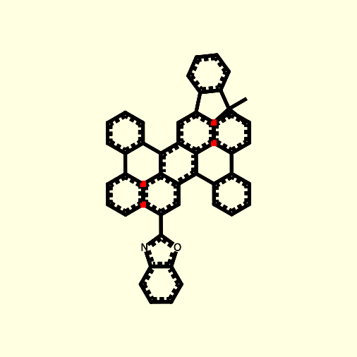 CC1(C)c2ccccc2-c2cc3c(-c4ccccc4-c4ccccc4)c4ccc(-c5nc6ccccc6o5)cc4c(-c4ccccc4-c4ccccc4)c3cc21